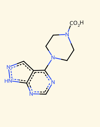 O=C(O)N1CCN(c2ncnc3[nH]ncc23)CC1